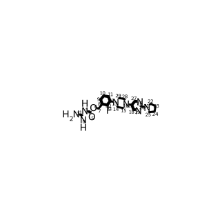 N=C(N)NC(=O)OCc1cccc(N2CCN(c3cnc(N4CCCC4)nc3)CC2)c1F